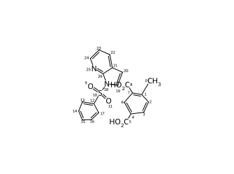 Cc1ccc(C(=O)O)cc1C(=O)O.O=S(=O)(c1ccccc1)n1ccc2cccnc21